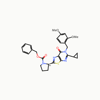 COc1ccc(Cn2c(C3CC3)nc3sc([C@H]4CCCN4C(=O)OCc4ccccc4)nc3c2=O)c(OC)c1